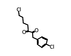 O=C(CCCCCl)C(=O)Cc1ccc(Cl)cc1